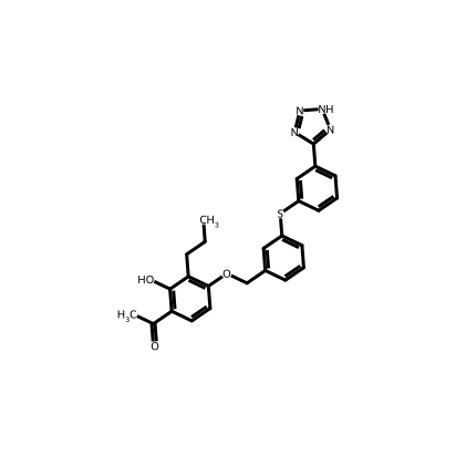 CCCc1c(OCc2cccc(Sc3cccc(-c4nn[nH]n4)c3)c2)ccc(C(C)=O)c1O